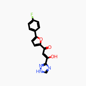 O=C(C=C(O)c1nc[nH]n1)c1ccc(-c2ccc(F)cc2)o1